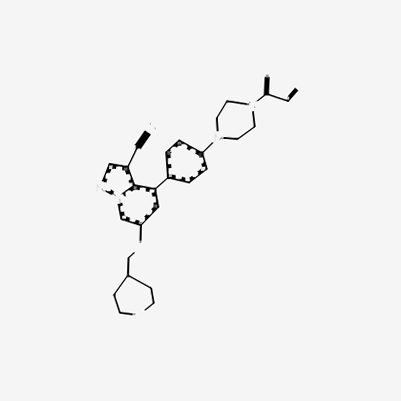 C=CC(=O)N1CCN(c2ccc(-c3cc(OCC4CCOCC4)cn4ncc(C#N)c34)cc2)CC1